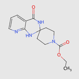 CCOC(=O)N1CCC2(CC1)NC(=O)c1cccnc1N2